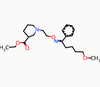 CCOC(=O)C1CCCN(CCON=C(CCCCOC)c2ccccc2)C1